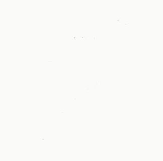 CCCCCCCCCCCCCCC(CC(CC(CC(CCCCCCCCCCCCCC)CC(C)(C)C)C(=O)O)C(=O)O)CC(C)(C)C